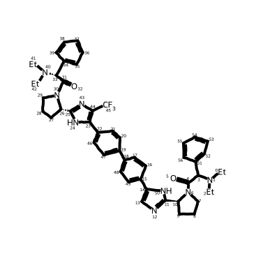 CCN(CC)C(C(=O)N1CCC[C@H]1c1ncc(-c2ccc(-c3ccc(-c4[nH]c([C@@H]5CCCN5C(=O)[C@@H](c5ccccc5)N(CC)CC)nc4C(F)(F)F)cc3)cc2)[nH]1)c1ccccc1